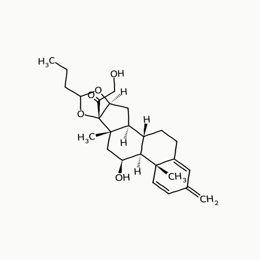 C=C1C=C[C@@]2(C)C(=C1)CC[C@@H]1[C@@H]2[C@@H](O)C[C@@]2(C)[C@H]1C[C@@H]1OC(CCC)O[C@]12C(=O)CO